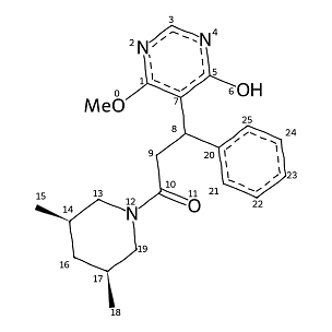 COc1ncnc(O)c1C(CC(=O)N1C[C@H](C)C[C@H](C)C1)c1ccccc1